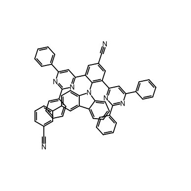 N#Cc1cccc(-c2ccc3c(c2)c2ccccc2n3-c2c(-c3cc(-c4ccccc4)nc(-c4ccccc4)n3)cc(C#N)cc2-c2cc(-c3ccccc3)nc(-c3ccccc3)n2)c1